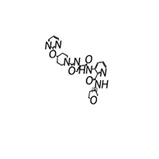 O=C(Nc1cccnc1C(=O)N[C@H]1CCOC1)c1coc(N2CCC(Oc3ncccn3)CC2)n1